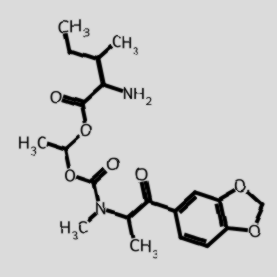 CCC(C)C(N)C(=O)OC(C)OC(=O)N(C)C(C)C(=O)c1ccc2c(c1)OCO2